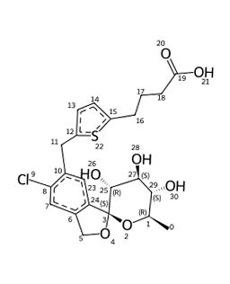 C[C@H]1O[C@]2(OCc3cc(Cl)c(Cc4ccc(CCCC(=O)O)s4)cc32)[C@H](O)[C@@H](O)[C@@H]1O